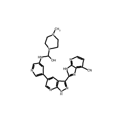 CN1CCN(C(O)Nc2cncc(-c3cnc4[nH]nc(-c5nc6c(C#N)ccnc6[nH]5)c4c3)c2)CC1